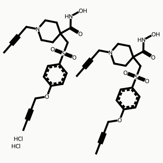 CC#CCOc1ccc(S(=O)(=O)CC2(C(=O)NO)CCN(CC#CC)CC2)cc1.CC#CCOc1ccc(S(=O)(=O)CC2(C(=O)NO)CCN(CC#CC)CC2)cc1.Cl.Cl